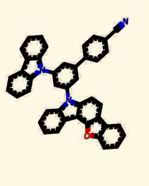 N#Cc1ccc(-c2cc(-n3c4ccccc4c4ccccc43)cc(-n3c4ccccc4c4c5oc6ccccc6c5ccc43)c2)cc1